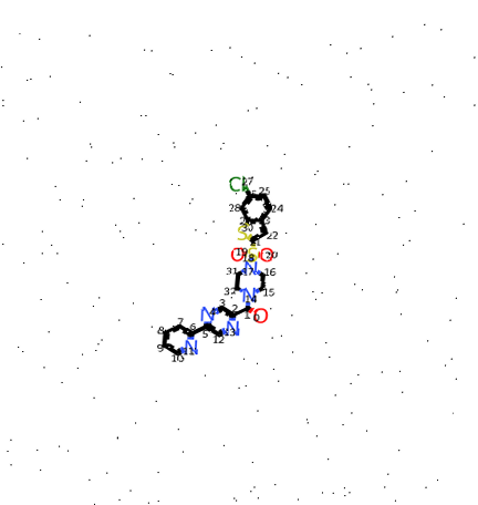 O=C(c1cnc(-c2ccccn2)cn1)N1CCN(S(=O)(=O)c2cc3ccc(Cl)cc3s2)CC1